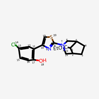 CCOC(=O)C1C2CCC1CN(c1nc(-c3cc(Cl)ccc3O)cs1)C2